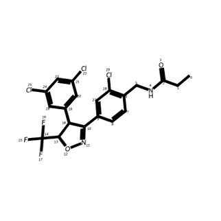 CCC(=O)NCc1ccc(C2=NOC(C(F)(F)F)C2c2cc(Cl)cc(Cl)c2)cc1Cl